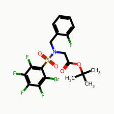 CC(C)(C)OC(=O)CN(Cc1ccccc1F)S(=O)(=O)c1c(F)c(F)c(F)c(F)c1Br